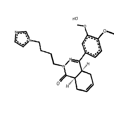 COc1ccc(C2=NN(CCCCn3ccnc3)C(=O)[C@@H]3CC=CC[C@H]23)cc1OC.Cl